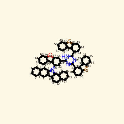 c1ccc2cc3c(cc2c1)c1ccc2ccccc2c1n3-c1cc(C2=NC(c3cccc4sc5ccccc5c34)=NC(c3cccc4sc5ccccc5c34)N2)cc2oc3ccccc3c12